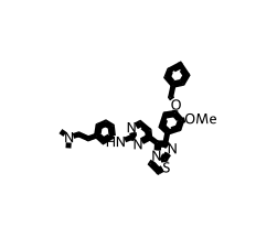 COc1cc(-c2nc3sccn3c2-c2ccnc(Nc3cccc(CCN(C)C)c3)n2)ccc1OCc1ccccc1